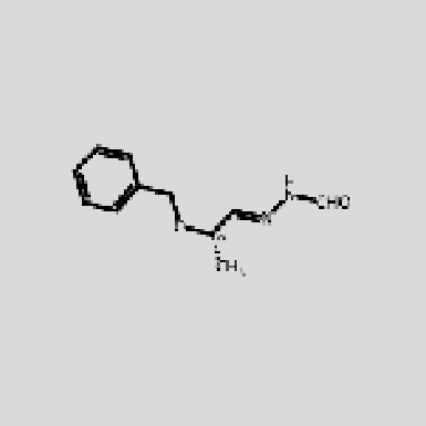 C[C@@H](C=NNC=O)OCc1ccccc1